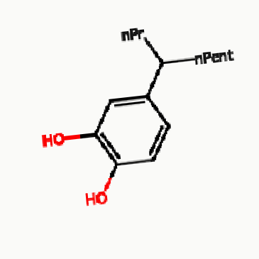 CCCCCC(CCC)c1ccc(O)c(O)c1